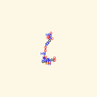 CC1(C)OC(=O)c2ccc(Nc3ncc(-c4nnc(CCNCCOCCOCCN5CCN(c6ccc7c(c6)C(=O)N(C6CCC(=O)NC6=O)C7=O)CC5)o4)c(N[C@@](S)(CO)c4ccccc4)n3)cc21